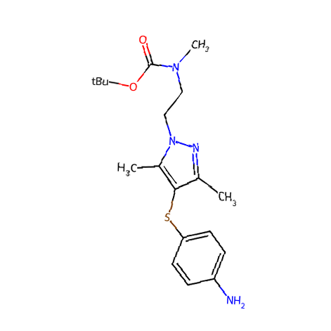 Cc1nn(CCN(C)C(=O)OC(C)(C)C)c(C)c1Sc1ccc(N)cc1